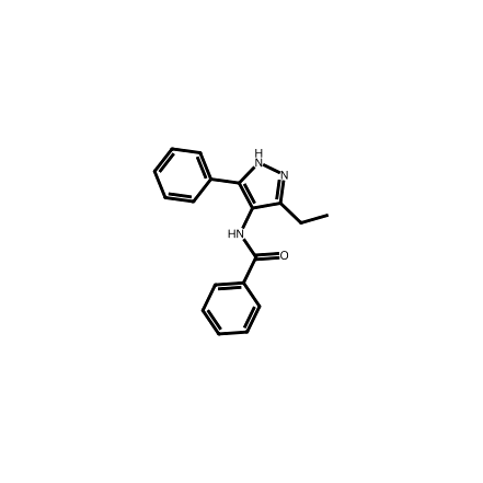 CCc1n[nH]c(-c2ccccc2)c1NC(=O)c1ccccc1